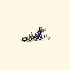 Cc1ccc2c(oc3c(C#N)c(-c4ccc(-c5ccccc5)cc4)ccc32)c1-c1cc(F)c(C(C)(C)C)c[n+]1C